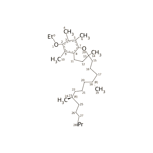 CCOc1c(C)c(C)c2c(c1C)CCC(C)(CCC[C@H](C)CCC[C@H](C)CCCC(C)C)O2